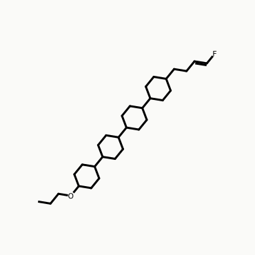 CCCOC1CCC(C2CCC(C3CCC(C4CCC(CC/C=C/F)CC4)CC3)CC2)CC1